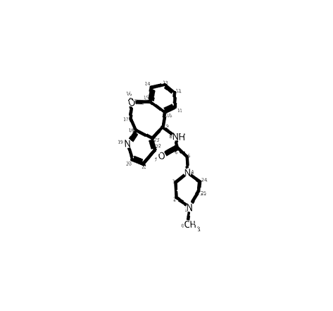 CN1CCN(CC(=O)NC2c3ccccc3OCc3ncccc32)CC1